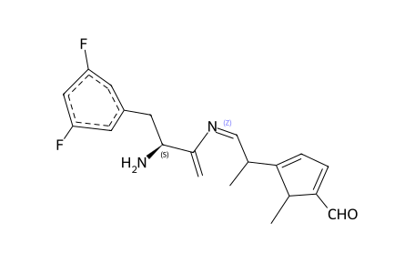 C=C(/N=C\C(C)C1=CC=C(C=O)C1C)[C@@H](N)Cc1cc(F)cc(F)c1